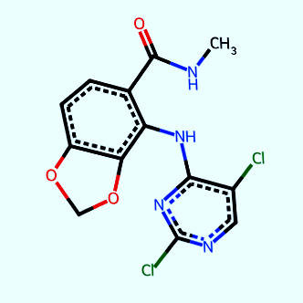 CNC(=O)c1ccc2c(c1Nc1nc(Cl)ncc1Cl)OCO2